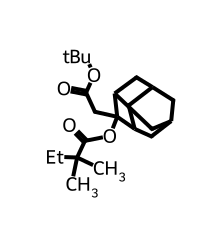 CCC(C)(C)C(=O)OC1(CC(=O)OC(C)(C)C)C2CC3CC(C2)CC1C3